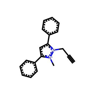 C#CCn1c(-c2ccccc2)cc(-c2ccccc2)[n+]1C